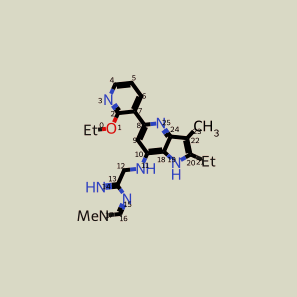 CCOc1ncccc1-c1cc(NCC(=N)/N=C\NC)c2[nH]c(CC)c(C)c2n1